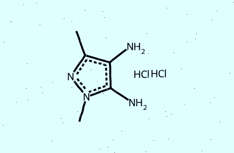 Cc1nn(C)c(N)c1N.Cl.Cl